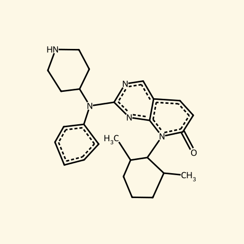 CC1CCCC(C)C1n1c(=O)ccc2cnc(N(c3ccccc3)C3CCNCC3)nc21